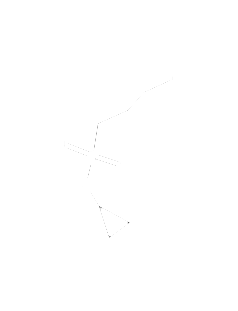 O=S(=O)(CCCCl)OC1CC1